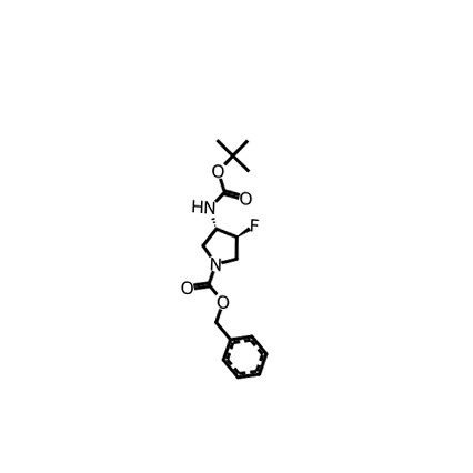 CC(C)(C)OC(=O)N[C@H]1CN(C(=O)OCc2ccccc2)C[C@@H]1F